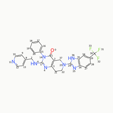 O=c1c2c(nc(NCc3ccncc3)n1-c1ccccc1)CCN(c1nc3ccc(C(F)(F)F)cc3[nH]1)C2